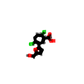 O=Cc1ccc(C2=C(Cl)CC=C(Cl)C(C(=O)O)=C2)o1